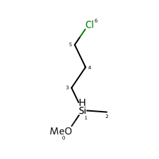 CO[SiH](C)CCCCl